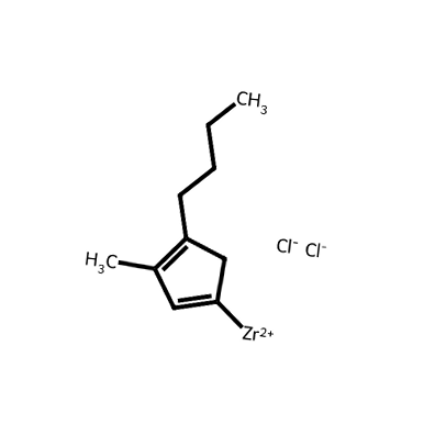 CCCCC1=C(C)C=[C]([Zr+2])C1.[Cl-].[Cl-]